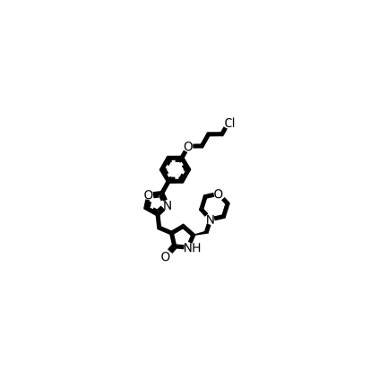 O=C1N[C@H](CN2CCOCC2)CC1Cc1coc(-c2ccc(OCCCCl)cc2)n1